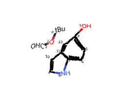 CC(C)(C)OC=O.Oc1ccc2[nH]ccc2c1